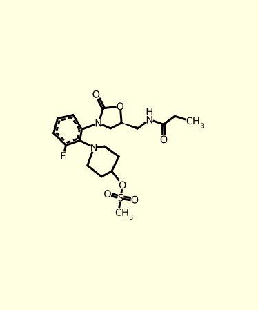 CCC(=O)NC[C@H]1CN(c2cccc(F)c2N2CCC(OS(C)(=O)=O)CC2)C(=O)O1